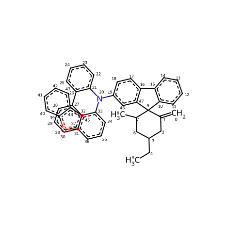 C=C1CC(CC)CC(C)C12c1ccccc1-c1ccc(N(c3ccccc3-c3ccccc3)c3cccc4oc5ccccc5c34)cc12